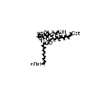 CCCCCCCC/C=C\CCCCCCCC(=O)OCC1([C@H]2OC[C@H](OCC(O)CO)[C@H]2OC(=O)CCCCCCC/C=C\CCCCCCCC)OCCO1